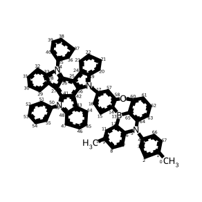 Cc1ccc(N2c3ccc(C)cc3B3c4ccc(-n5c6ccccc6c6c7c(c8ccccc8n7-c7ccccc7)c7c(c8ccccc8n7-c7ccccc7)c65)cc4Oc4cccc2c43)cc1